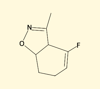 CC1=NOC2CCC=C(F)C12